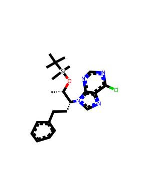 C[C@H](O[Si](C)(C)C(C)(C)C)[C@@H](CCc1ccccc1)n1cnc2c(Cl)ncnc21